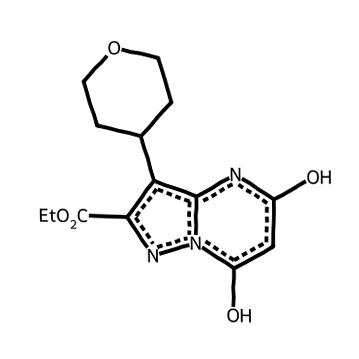 CCOC(=O)c1nn2c(O)cc(O)nc2c1C1CCOCC1